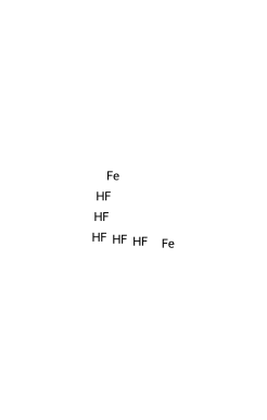 F.F.F.F.F.[Fe].[Fe]